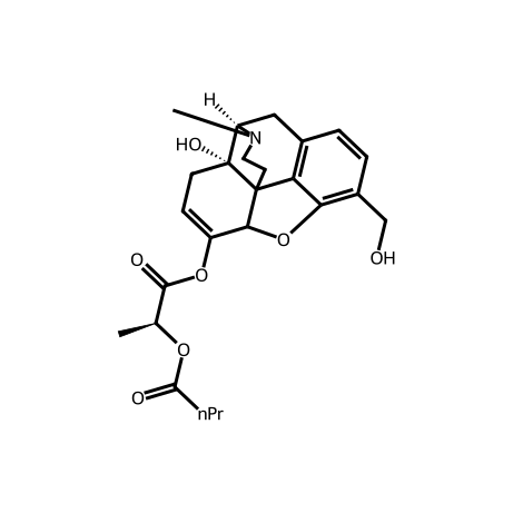 CCCC(=O)O[C@@H](C)C(=O)OC1=CC[C@@]2(O)[C@H]3Cc4ccc(CO)c5c4C2(CCN3C)C1O5